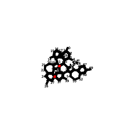 Cc1cc(C)c(/C(=C2/N=C3C(=C2c2c(C)cccc2C)CCCc2cc(C)ccc23)c2c(-c3c(C)cccc3C)c3c(n2SF)-c2ccc(C)cc2CCC3)c(C)c1